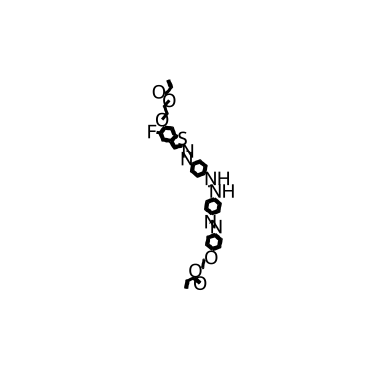 C=CC(=O)OCCOc1ccc(/N=N/c2ccc(NCNc3ccc(/N=N/c4cc5cc(F)c(OCCOC(=O)C=C)cc5s4)cc3)cc2)cc1